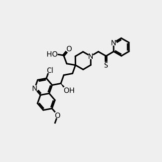 COc1ccc2ncc(Cl)c([C@H](O)CCC3(CC(=O)O)CCN(CC(=S)c4ccccn4)CC3)c2c1